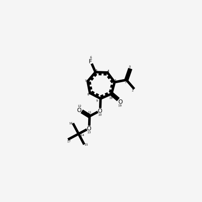 C=C(C)c1cc(F)ccc(OC(=O)OC(C)(C)C)c1=O